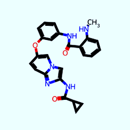 CNc1ccccc1C(=O)Nc1cccc(Oc2ccc3nc(NC(=O)C4CC4)cn3c2)c1